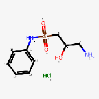 Cl.NCC(O)CS(=O)(=O)Nc1ccccc1